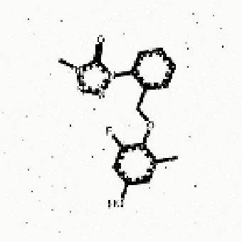 Cc1cc(O)cc(F)c1OCc1ccccc1-n1nnn(C)c1=O